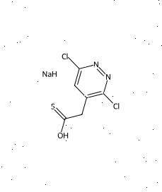 OC(=S)Cc1cc(Cl)nnc1Cl.[NaH]